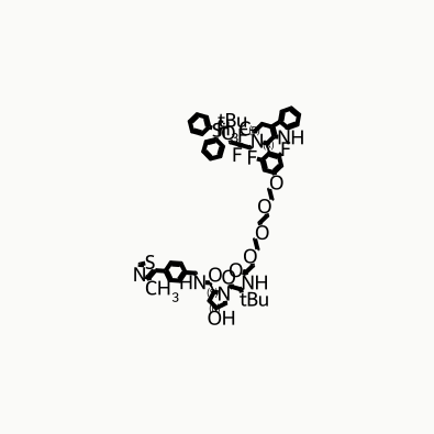 Cc1ncsc1-c1ccc(CNC(=O)[C@@H]2C[C@@H](O)CN2C(=O)C(NC(=O)COCCOCCOCCOc2cc(F)c([C@@H]3c4[nH]c5ccccc5c4C[C@@H](C)N3CC(F)(F)CO[Si](c3ccccc3)(c3ccccc3)C(C)(C)C)c(F)c2)C(C)(C)C)cc1